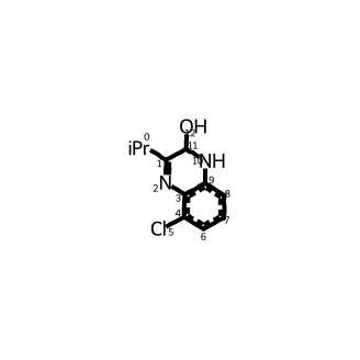 CC(C)C1=Nc2c(Cl)cccc2NC1O